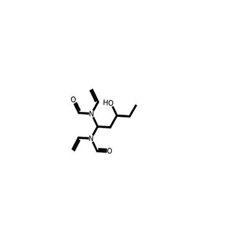 C=CN(C=O)C(CC(O)CC)N(C=C)C=O